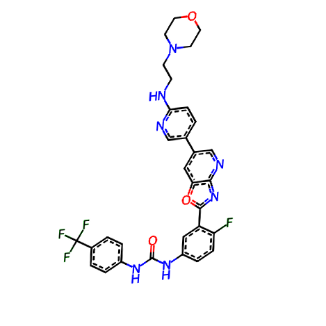 O=C(Nc1ccc(C(F)(F)F)cc1)Nc1ccc(F)c(-c2nc3ncc(-c4ccc(NCCN5CCOCC5)nc4)cc3o2)c1